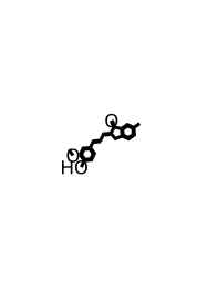 COc1cc(/C=C/C=C2\Cc3ccc(C)cc3C2=O)ccc1O